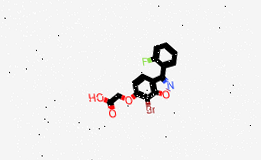 O=C(O)COc1ccc2c(-c3ccccc3F)noc2c1Br